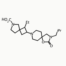 CCC1C(N2CCC3(CC2)CN(CC(C)C)C(=O)O3)CC12CCN(C(=O)O)C2